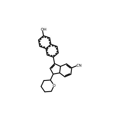 N#CC1=CC2C(c3ccc4cc(O)ccc4c3)=CC(C3CCCCO3)C2C=C1